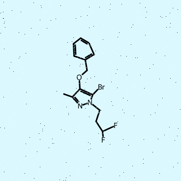 Cc1nn(CCC(F)F)c(Br)c1OCc1ccccc1